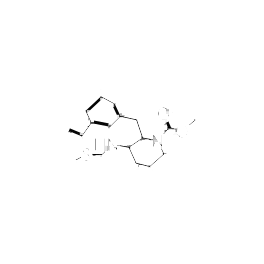 C=Cc1cccc(CC2C(NCSC)CCCN2C(=O)OC)c1